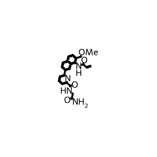 C=CC(=O)Nc1c(COC)ccc2ccc(-c3cccc(C(=O)NCC(N)=O)n3)cc12